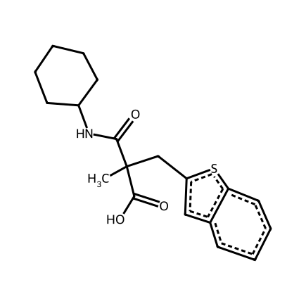 CC(Cc1cc2ccccc2s1)(C(=O)O)C(=O)NC1CCCCC1